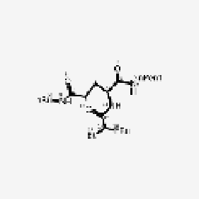 CCCCCNC(=O)C(CCC(=O)NCCCC)NC(=O)C(CC)CCCC